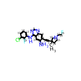 CC1(C#Cc2cc3ncnc(Nc4cccc(Cl)c4F)c3cc2N)CCN(CCF)C1